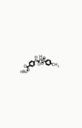 CCCCOC(=O)c1ccc(NC(=O)NS(=O)(=O)c2ccc(C)cc2)cc1